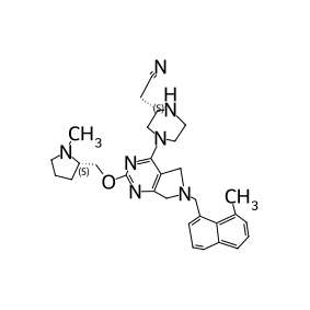 Cc1cccc2cccc(CN3Cc4nc(OC[C@@H]5CCCN5C)nc(N5CCN[C@@H](CC#N)C5)c4C3)c12